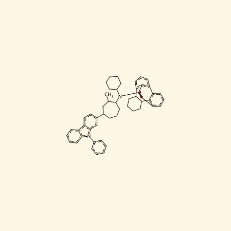 CC1CC(c2ccc3c4ccccc4n(-c4ccccc4)c3c2)CCCC1N(c1ccc2c(c1)-c1c3cccc1C1CCCCC1c1c-2cccc1-3)C1CCCCC1